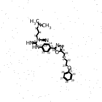 CN(C)CCCN(C#N)C(=N)Nc1ccc(-c2nnc(CSCCOc3ccccc3)o2)cc1